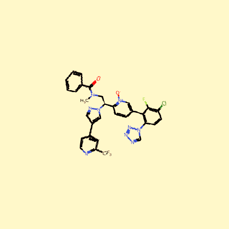 CN(C[C@@H](c1ccc(-c2c(-n3cnnn3)ccc(Cl)c2F)c[n+]1[O-])n1cc(-c2ccnc(C(F)(F)F)c2)cn1)C(=O)c1ccccc1